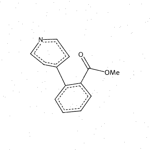 COC(=O)c1ccccc1-c1ccncc1